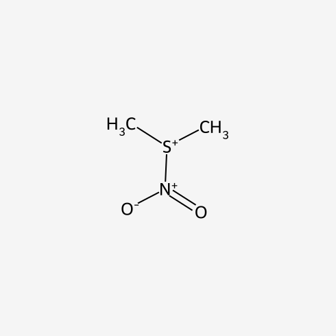 C[S+](C)[N+](=O)[O-]